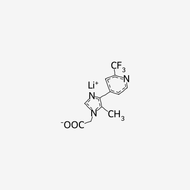 Cc1c(-c2ccnc(C(F)(F)F)c2)ncn1CC(=O)[O-].[Li+]